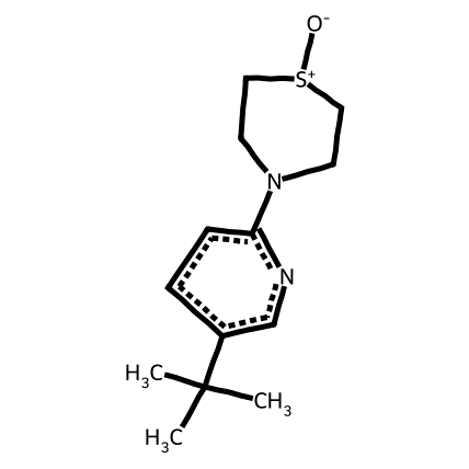 CC(C)(C)c1ccc(N2CC[S+]([O-])CC2)nc1